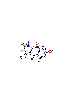 C=C1c2c(C)cc(=O)[nH]c2C(=O)c2[nH]c(=O)cc(CC)c21